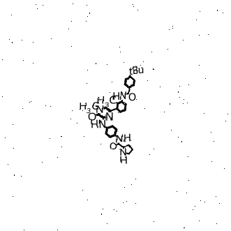 Cc1c(NC(=O)c2ccc(C(C)(C)C)cc2)cccc1-c1cn(C)c(=O)c(Nc2ccc(NC(=O)C3CCCN3)cc2)n1